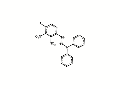 O=[N+]([O-])c1c(F)ccc(NNN(c2ccccc2)c2ccccc2)c1[N+](=O)[O-]